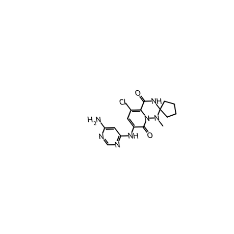 CN1n2c(c(Cl)cc(Nc3cc(N)ncn3)c2=O)C(=O)NC12CCCC2